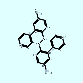 O=[N+]([O-])c1cnc(SSc2ncc([N+](=O)[O-])cc2-c2ccncc2)c(-c2ccncc2)c1